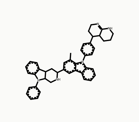 Cc1cc(C2CC3c4ccccc4N(c4ccccc4)C3CN2)cc2c3ccccc3n(-c3ccc(C4CCN=C5NCCCC54)cc3)c12